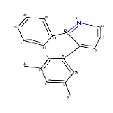 Cc1cc(C)cc(-c2cccnc2-c2ccccc2)c1